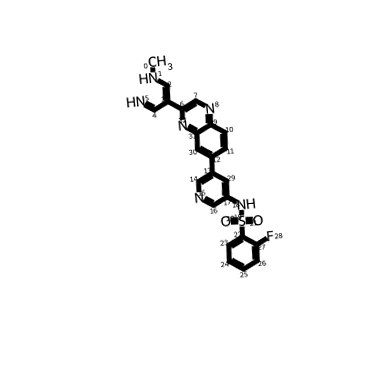 CN/C=C(\C=N)c1cnc2ccc(-c3cncc(NS(=O)(=O)c4ccccc4F)c3)cc2n1